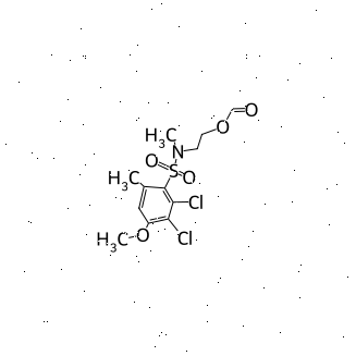 COc1cc(C)c(S(=O)(=O)N(C)CCOC=O)c(Cl)c1Cl